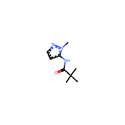 Cn1nccc1NC(=O)C(C)(C)C